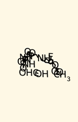 CS(=O)(=O)CCOc1cc(F)c2c(c1)CC(CNCCC1CN(c3cnc4c(n3)NC(=O)CO4)C(=O)O1)C2.O=CO